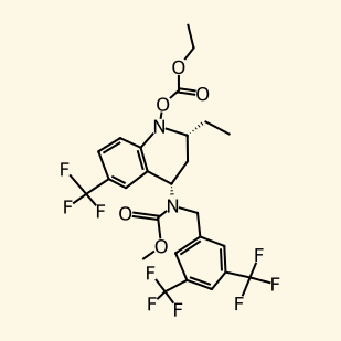 CCOC(=O)ON1c2ccc(C(F)(F)F)cc2[C@@H](N(Cc2cc(C(F)(F)F)cc(C(F)(F)F)c2)C(=O)OC)C[C@H]1CC